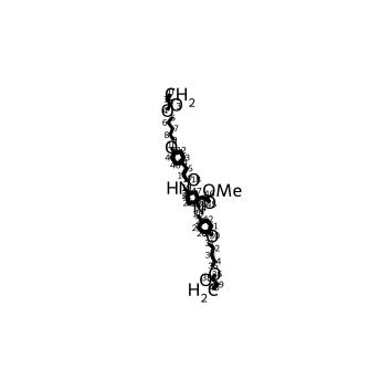 C=CC(=O)OCCCCCOc1ccc(/C=C/C(=O)Nc2ccc(/N=C/c3ccc(OCCCCCOC(=O)C=C)cc3)c(C(=O)OC)c2)cc1